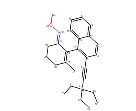 CC[Si](C#Cc1ccc2ccccc2c1C1=C(C)CCC/C1=N\OC)(CC)CC